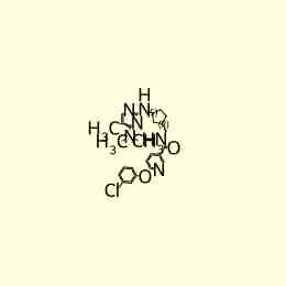 Cc1cnc(N[C@H]2CC[C@@H](CNC(=O)c3ccc(Oc4cccc(Cl)c4)nc3)C2)nc1N(C)C